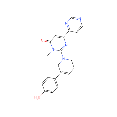 Bc1ccc(C2=CCCN(c3nc(-c4ccncn4)cc(=O)n3C)C2)cc1